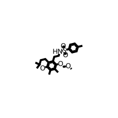 COCOc1c(C)c(C)c2c(c1CCNS(=O)(=O)c1ccc(C)cc1)CCC(C)(C)O2